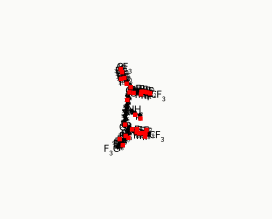 CN(C)CCCNC(CCCCCC(=O)OC(CCC(F)(F)C(F)(F)C(F)(F)C(F)(F)C(F)(F)C(F)(F)F)CCC(F)(F)C(F)(F)C(F)(F)C(F)(F)C(F)(F)C(F)(F)F)CCCCCC(=O)OC(CCC(F)(F)C(F)(F)C(F)(F)C(F)(F)C(F)(F)C(F)(F)F)CCC(F)(F)C(F)(F)C(F)(F)C(F)(F)C(F)(F)C(F)(F)F